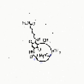 CO/C1=C\C(C)CCCC(C)CC2=C(NCCCCCC(N)=O)C(=O)C=C(NC(=O)/C(C)=C/C=C\CC1)C2=O